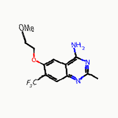 COCCOc1cc2c(N)nc(C)nc2cc1C(F)(F)F